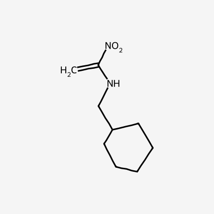 C=C(NCC1CCCCC1)[N+](=O)[O-]